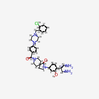 COc1cc(N2CCC3(CCN(C(=O)c4ccc(N5CCN(Cc6ccccc6Cl)CC5)cc4)CC3)C2=O)ccc1/C(=C/N)CN